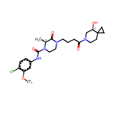 C[C@H]1C(=O)N(CCCC(=O)N2CCC3(CC3)[C@H](O)C2)CCN1C(=O)Nc1ccc(Cl)c(OC(F)(F)F)c1